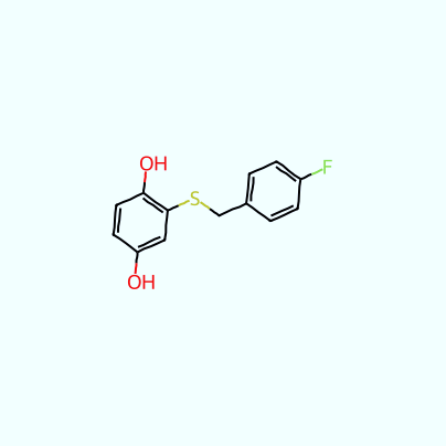 Oc1ccc(O)c(SCc2ccc(F)cc2)c1